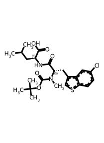 CC(C)C[C@H](NC(=O)[C@H](Cc1csc2ccc(Cl)cc12)N(C)C(=O)OC(C)(C)C)C(=O)O